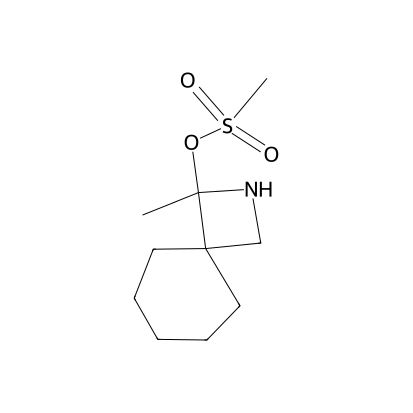 CC1(OS(C)(=O)=O)NCC12CCCCC2